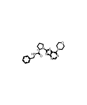 O=C(NCc1ccccc1)[C@H]1CCCN1c1nc2ncnc(N3CCOCC3)c2s1